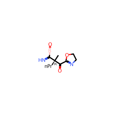 CCC[C@](C)(C(=N)B=O)C(=O)C1=NCCO1